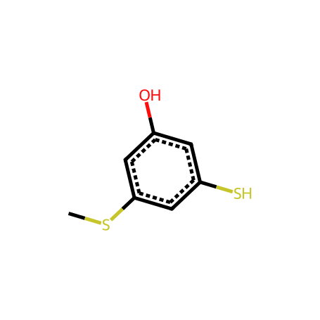 CSc1cc(O)cc(S)c1